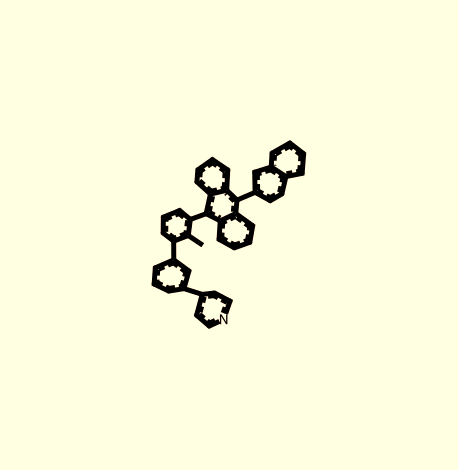 Cc1c(-c2cccc(-c3ccncc3)c2)cccc1-c1c2ccccc2c(-c2ccc3ccccc3c2)c2ccccc12